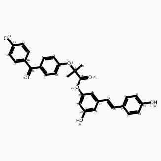 CC(C)(Oc1ccc(C(=O)c2ccc(Cl)cc2)cc1)C(=O)Oc1cc(O)cc(/C=C/c2ccc(O)cc2)c1